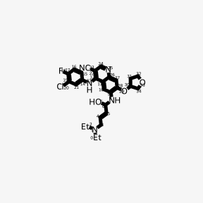 CCN(CC)C/C=C/C(O)Nc1cc2c(Nc3ccc(F)c(Cl)c3)c(C#N)cnc2cc1OC1CCOC1